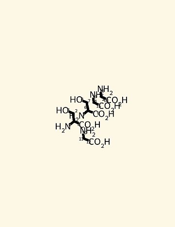 NC(CO)C(=O)O.NC(CO)C(=O)O.NCC(=O)O.NCC(=O)O.NCC(=O)O